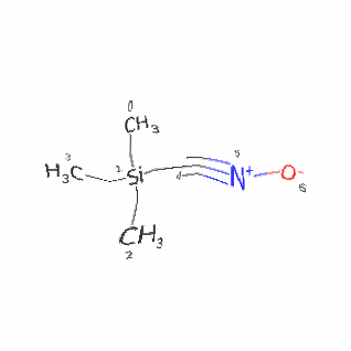 C[Si](C)(C)C#[N+][O-]